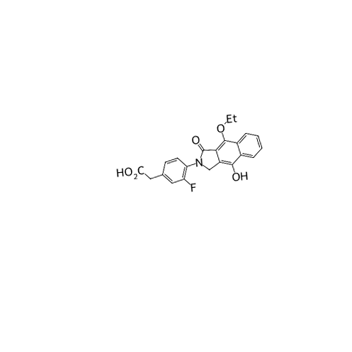 CCOc1c2c(c(O)c3ccccc13)CN(c1ccc(CC(=O)O)cc1F)C2=O